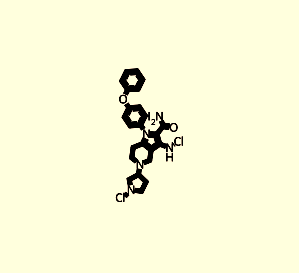 NC(=O)c1c(NCl)c2c(n1-c1ccc(Oc3ccccc3)cc1)CCN(C1CCN(Cl)C1)C2